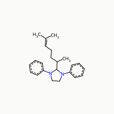 CC(C)=CCCC(C)C1N(c2ccccc2)CCN1c1ccccc1